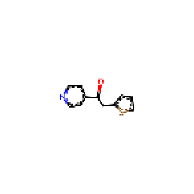 O=C(Cc1cccs1)c1ccncc1